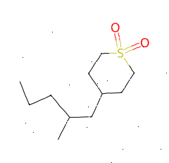 CCCC(C)CC1CCS(=O)(=O)CC1